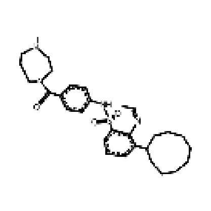 C/C=N\c1c(C2CCCCCCCC2)cccc1S(=O)(=O)Nc1ccc(C(=O)N2CCCNCC2)cc1